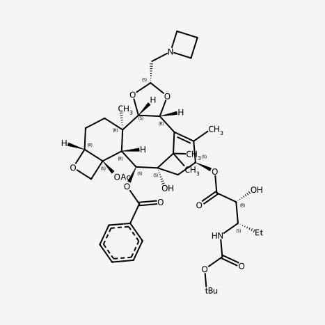 CC[C@H](NC(=O)OC(C)(C)C)[C@@H](O)C(=O)O[C@H]1C[C@@]2(O)[C@@H](OC(=O)c3ccccc3)[C@H]3[C@@](C)(CC[C@H]4OC[C@]43OC(C)=O)[C@@H]3O[C@H](CN4CCC4)O[C@@H]3C(=C1C)C2(C)C